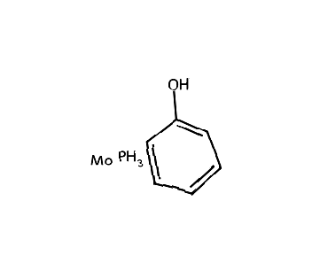 Oc1ccccc1.P.[Mo]